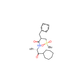 CCC[C@H](NC(=O)C(Cc1ccccc1)CS(=O)(=O)C(C)(C)C)C(=O)[C]1CCCCCC1